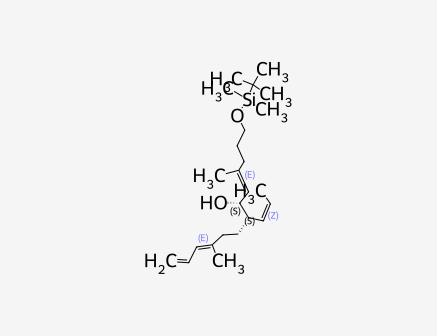 C=C/C=C(\C)CC[C@@H](/C=C\C)[C@H](O)/C=C(\C)CCCO[Si](C)(C)C(C)(C)C